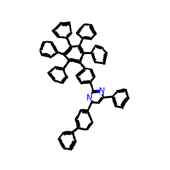 c1ccc(-c2ccc(-c3cc(-c4ccccc4)nc(-c4ccc(-c5c(-c6ccccc6)c(-c6ccccc6)c(-c6ccccc6)c(-c6ccccc6)c5-c5ccccc5)cc4)n3)cc2)cc1